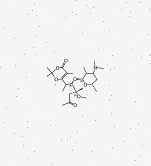 CO[C@](C)(CC(C)=O)[C@H](O[C@@H]1OC(C)CC(N(C)C)C1C)C(C)C1=C(C)C(=O)OC(C)(C)O1